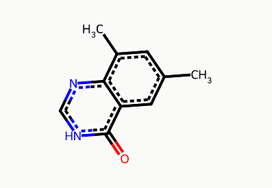 Cc1cc(C)c2nc[nH]c(=O)c2c1